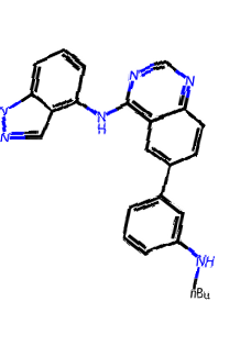 CCCCNc1cccc(-c2ccc3ncnc(Nc4cccc5[nH]ncc45)c3c2)c1